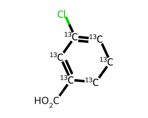 O=C(O)[13C]1=[13CH][13C](Cl)=[13CH][13CH2][13CH2]1